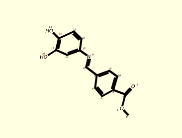 COC(=O)c1ccc(C=Nc2ccc(O)c(O)c2)cc1